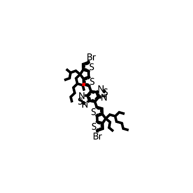 CCCCC(CC)CC1(CCC)c2cc(Br)sc2-c2sc(-c3c4c(c(-c5cc6c(s5)-c5sc(Br)cc5C6(CC(C)CC)CC(CC)CCCC)c5nsnc35)N=S=N4)cc21